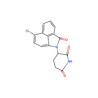 O=C1CCC(N2C(=O)c3cccc4c(Cl)ccc2c34)C(=O)N1